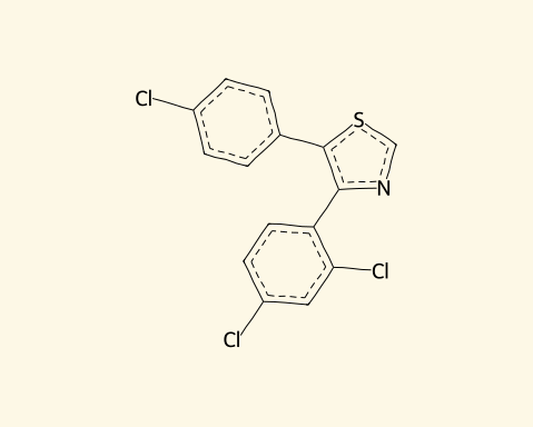 Clc1ccc(-c2scnc2-c2ccc(Cl)cc2Cl)cc1